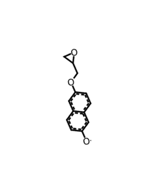 [O]c1ccc2cc(OCC3CO3)ccc2c1